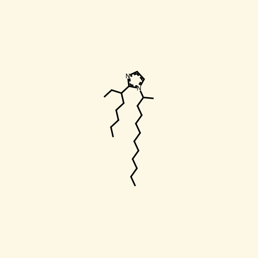 CCCCCCCCCCC(C)n1ccnc1C(CC)CCCCC